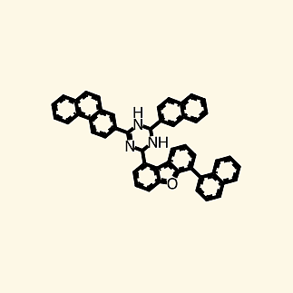 c1ccc2cc(C3NC(c4ccc5c(ccc6ccccc65)c4)=NC(c4cccc5oc6c(-c7cccc8ccccc78)cccc6c45)N3)ccc2c1